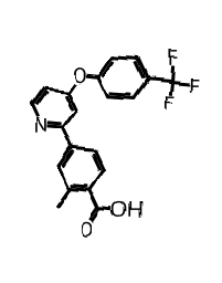 Cc1cc(-c2cc(Oc3ccc(C(F)(F)F)cc3)ccn2)ccc1C(=O)O